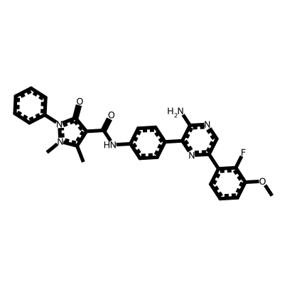 COc1cccc(-c2cnc(N)c(-c3ccc(NC(=O)c4c(C)n(C)n(-c5ccccc5)c4=O)cc3)n2)c1F